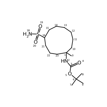 CC1(NC(=O)OC(C)(C)C)CCCCCCC(S(N)(=O)=O)CCC1